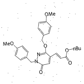 CCCCOC(=O)C=Cc1cc(=O)n(Cc2ccc(OC)cc2)nc1OCc1ccc(OC)cc1